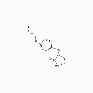 CC(C)CCOc1ccc(OC2CCNC2=O)cc1